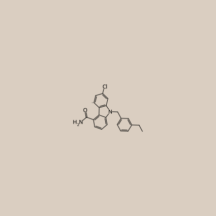 CCc1cccc(Cn2c3cc(Cl)c[c]c3c3c(C(N)=O)cccc32)c1